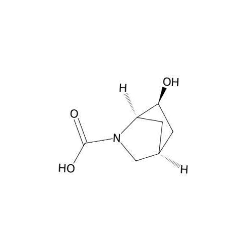 O=C(O)N1C[C@H]2C[C@@H]1[C@@H](O)C2